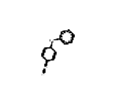 [N-]=[N+]=C1C=CC(Nc2ccccc2)C=C1